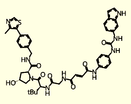 Cc1ncsc1-c1ccc(CNC(=O)[C@@H]2C[C@@H](O)CN2C(=O)[C@@H](NC(=O)CNC(=O)/C=C/C(=O)Nc2ccc(NC(=O)Nc3ccc4cc[nH]c4c3)cc2)C(C)(C)C)cc1